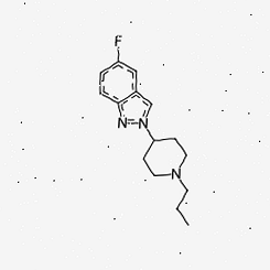 CCCN1CCC(n2cc3cc(F)ccc3n2)CC1